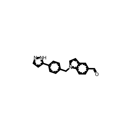 O=Cc1ccc2c(ccn2Cc2ccc(-c3ccn[nH]3)cc2)c1